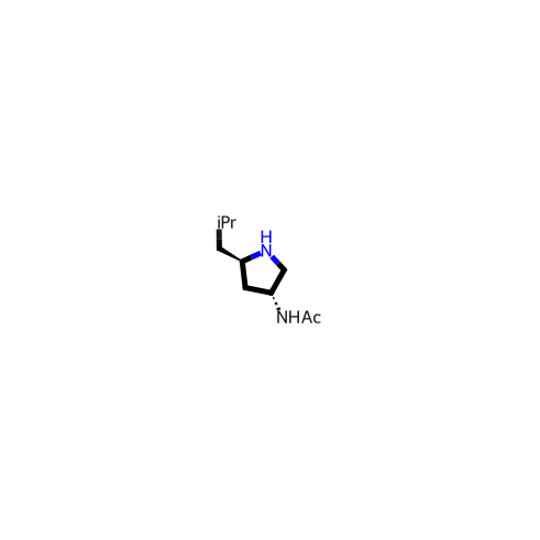 CC(=O)N[C@H]1CN[C@H](CC(C)C)C1